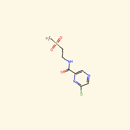 CS(=O)(=O)CCNC(=O)c1cncc(Cl)n1